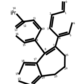 C=C/C=C\C(=C/C)C1=C(C(/C=C\C(=C)C(C)C)=C/C)C(=C/C)/C(=C\C)CCC1